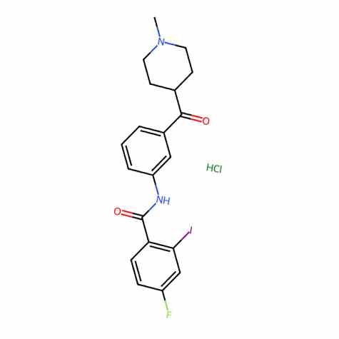 CN1CCC(C(=O)c2cccc(NC(=O)c3ccc(F)cc3I)c2)CC1.Cl